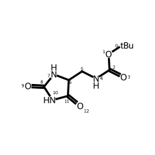 CC(C)(C)OC(=O)NCC1NC(=O)NC1=O